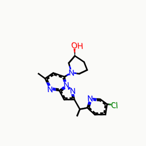 Cc1cc(N2CCC[C@H](O)C2)n2nc(C(C)c3ccc(Cl)cn3)cc2n1